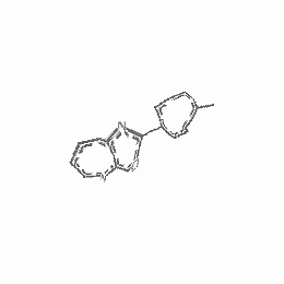 Cc1ccc(-c2nc3cccnc3o2)cc1